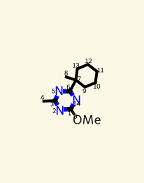 COc1nc(C)nc(C2(C)CCCCC2)n1